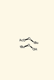 CC(=O)OOC(C)(C)C.CC(C)(C)OO